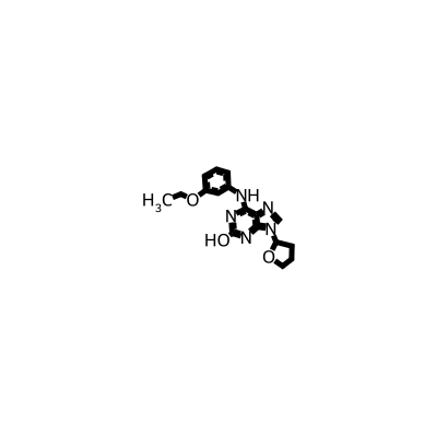 CCOc1cccc(Nc2nc(O)nc3c2ncn3C2CCCO2)c1